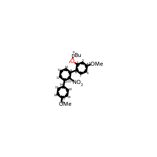 CCCCOc1cc(OC)ccc1-c1cccc(-c2ccc(OC)cc2)c1[N+](=O)[O-]